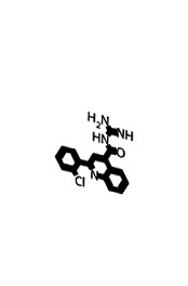 N=C(N)NC(=O)c1cc(-c2ccccc2Cl)nc2ccccc12